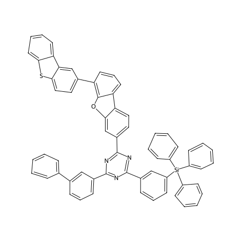 c1ccc(-c2cccc(-c3nc(-c4cccc([Si](c5ccccc5)(c5ccccc5)c5ccccc5)c4)nc(-c4ccc5c(c4)oc4c(-c6ccc7sc8ccccc8c7c6)cccc45)n3)c2)cc1